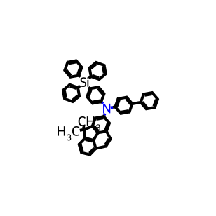 CC1(C)c2cccc3ccc4cc(N(c5ccc(-c6ccccc6)cc5)c5ccc([Si](c6ccccc6)(c6ccccc6)c6ccccc6)cc5)cc1c4c23